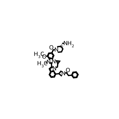 COc1cc(C(=O)N2CCC[C@@H](CN)C2)cc2nc(-c3cc4cccc(C5CN(C(=O)Cc6ccccc6)C5)c4n3CC3CC3)n(C)c12